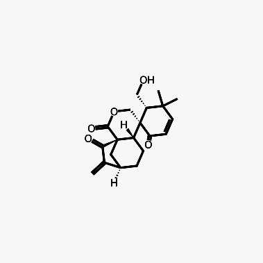 C=C1C(=O)[C@]23C[C@H]1CC[C@H]2[C@]1(COC3=O)C(=O)C=CC(C)(C)[C@H]1CO